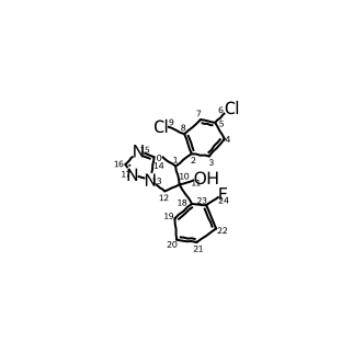 CC(c1ccc(Cl)cc1Cl)C(O)(Cn1cncn1)c1ccccc1F